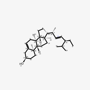 CC[C@H](/C=C/[C@@H](C)[C@H]1CC[C@H]2[C@@H]3CC=C4C[C@H](O)CC[C@]4(C)[C@H]3CC[C@]12C)C(C)C